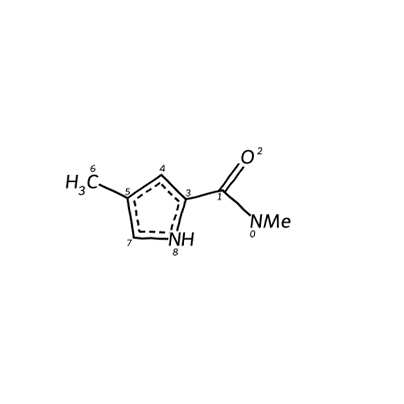 CNC(=O)c1cc(C)c[nH]1